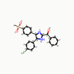 CS(=O)(=O)c1ccc(-c2nc(C(=O)c3ccccc3)[nH]c2-c2ccc(F)cc2)cc1